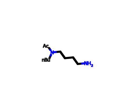 [CH2]C(=O)N(CCCC)CCCCN